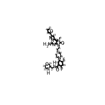 Cn1c(=O)n(CCN2CCN(c3cc(C(=O)NCC4COCCN4)c(F)cc3F)CC2)c2nc(N)n3nc(-c4ccco4)cc3c21